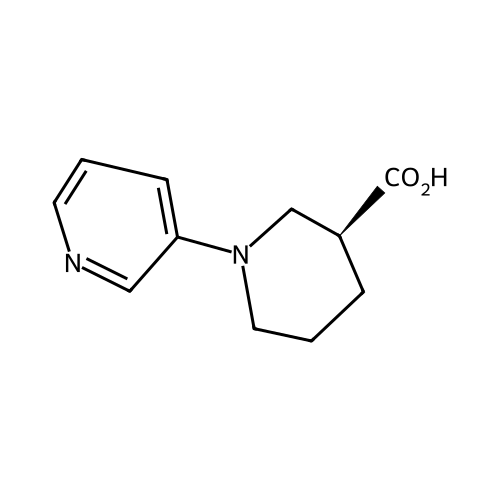 O=C(O)[C@H]1CCCN(c2cccnc2)C1